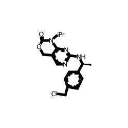 CC(C)N1C(=O)OCc2cnc(N[C@@H](C)c3ccc(CCl)cc3)nc21